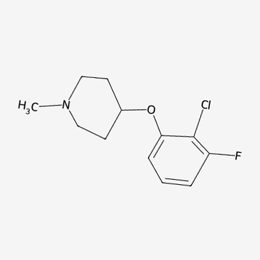 CN1CCC(Oc2cccc(F)c2Cl)CC1